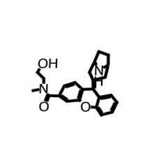 CN(CCO)C(=O)c1ccc2c(c1)Oc1ccccc1C2=C1CC2CCC(C1)N2